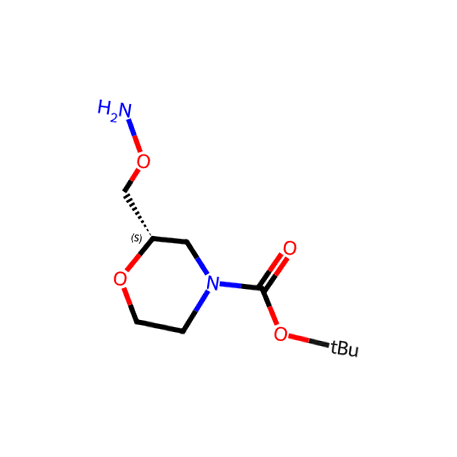 CC(C)(C)OC(=O)N1CCO[C@H](CON)C1